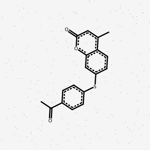 CC(=O)c1ccc(Sc2ccc3c(C)cc(=O)oc3c2)cc1